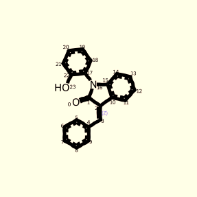 O=C1/C(=C\c2ccccc2)c2ccccc2N1c1ccccc1O